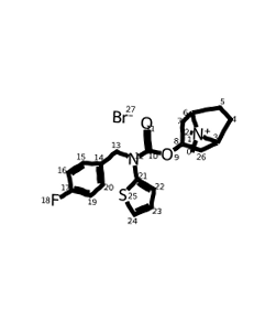 C[N+]1(C)C2CCC1CC(OC(=O)N(Cc1ccc(F)cc1)c1cccs1)C2.[Br-]